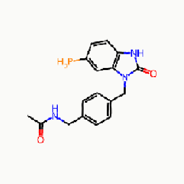 CC(=O)NCc1ccc(Cn2c(=O)[nH]c3ccc(P)cc32)cc1